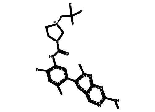 CNc1ncc2cc(-c3cc(NC(=O)N4CC[C@H](CC(F)(F)F)C4)c(F)cc3C)c(C)nc2n1